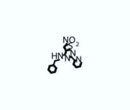 O=[N+]([O-])c1cc2c(NCCc3ccccc3)nc(-c3ccccn3)nc2s1